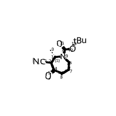 C[C@H]1C(C#N)C(=O)CCCN1C(=O)OC(C)(C)C